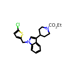 CCOC(=O)N1CCC(c2cn(Cc3ccc(Cl)s3)c3ccccc23)CC1